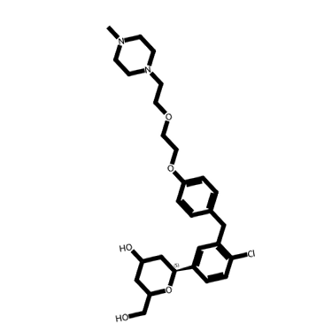 CN1CCN(CCOCCOc2ccc(Cc3cc([C@@H]4CC(O)CC(CO)O4)ccc3Cl)cc2)CC1